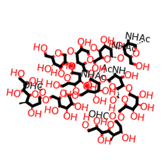 CC(=O)NC1C(O)[C@H](O[C@@H]2OC(CO[C@]3(OC=O)C[C@@H](O)[C@@H](C)C(C(O)C(O)CO)O3)[C@H](O)[C@H](O)C2O)[C@H](CO)O[C@H]1OC1[C@@H](OCC2O[C@@H](O[C@@H]3C(CO)O[C@@H](O[C@@H]4C(CO)O[C@@H](C)C(NC(C)=O)[C@H]4O)C(NC(C)=O)[C@H]3O)C(O)[C@@H](O[C@H]3OC(CO)[C@@H](O)C(O)C3O[C@@H]3OC(CO)[C@H](O[C@@H]4OC(CO[C@]5(OC=O)C[C@@H](O)[C@@H](C)C(C(O)C(O)CO)O5)[C@H](O)[C@H](O)C4O)[C@H](O)C3NC(C)=O)[C@@H]2O)OC(CO)[C@@H](O)[C@@H]1O